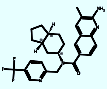 Cc1cc2cc(C(=O)N(Cc3ccc(C(F)(F)F)cn3)[C@@H]3CC[C@@H]4CCC[C@H]4C3)ccc2nc1N